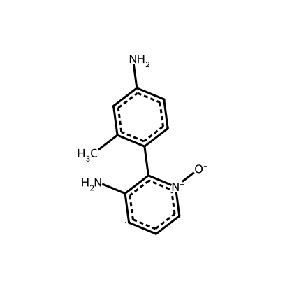 Cc1cc(N)ccc1-c1c(N)[c]cc[n+]1[O-]